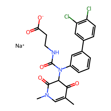 CC1=CN(C)C(=O)C(N(C(=O)NCCC(=O)[O-])c2cccc(-c3ccc(Cl)c(Cl)c3)c2)C1=O.[Na+]